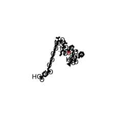 CC[C@H](C)[C@@H]([C@@H](CC(=O)N1CCC[C@H]1[C@H](OC)[C@@H](C)C(=O)N[C@@H](Cc1ccccc1)C(=O)NS(=O)(=O)C1CC1)OC)N(C)C(=O)[C@@H](NC(=O)[C@H](C(C)C)N(C)CCOCCOCCOCCOCCC(=O)N1CCC(C(=O)O)CC1)C(C)C